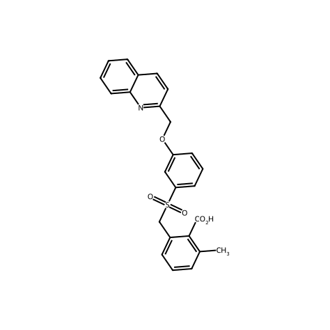 Cc1cccc(CS(=O)(=O)c2cccc(OCc3ccc4ccccc4n3)c2)c1C(=O)O